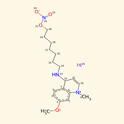 COc1ccc2c(c1)N(C)C=CC2NCCCCCCCO[N+](=O)[O-].I